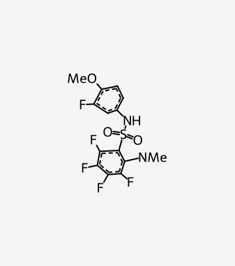 CNc1c(F)c(F)c(F)c(F)c1S(=O)(=O)Nc1ccc(OC)c(F)c1